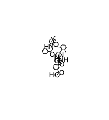 Cc1cccc(C)c1-c1cc(OC(CNC(=O)OC(C)(C)C)c2ccccc2)nc(NS(=O)(=O)c2cccc(C(=O)O)c2)n1